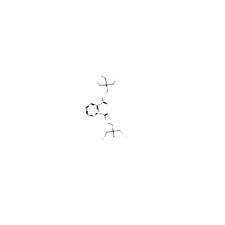 O=C(OCC(CBr)(CBr)CBr)c1ccccc1C(=O)OCC(CBr)(CBr)CBr